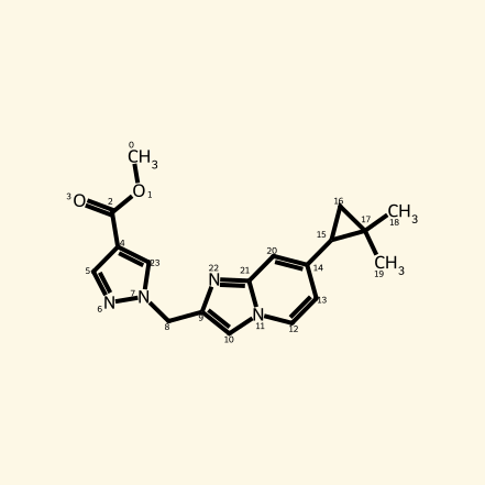 COC(=O)c1cnn(Cc2cn3ccc(C4CC4(C)C)cc3n2)c1